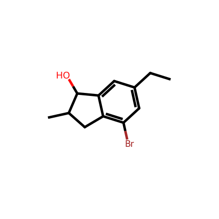 CCc1cc(Br)c2c(c1)C(O)C(C)C2